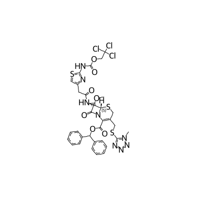 CO[C@@]1(NC(=O)Cc2csc(NC(=O)OCC(Cl)(Cl)Cl)n2)C(=O)N2C(C(=O)OC(c3ccccc3)c3ccccc3)=C(CSc3nnnn3C)CS[C@H]21